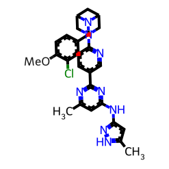 COc1ccc(CN2C3CC2CN(c2ccc(-c4nc(C)cc(Nc5cc(C)[nH]n5)n4)cn2)C3)cc1Cl